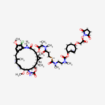 COc1cc2cc(c1Cl)N(C)C(=O)C[C@H](OC(=O)[C@H](C)N(C)C(=O)CCSC(=O)N(C)CCN(C)C(=O)OC1/C=C/CC(OCC(=O)ON3C(=O)CCC3=O)CCC1)[C@]1(C)C[C@H]1[C@H](C)[C@@H]1C[C@@](O)(NC(=O)O1)[C@H](OC)/C=C/C=C(\C)C2